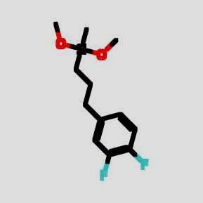 CO[Si](C)(CCCc1ccc(F)c(F)c1)OC